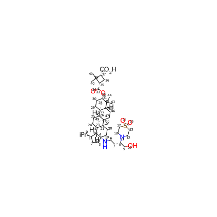 CC(C)[C@@H]1CC[C@]2(NCC[C@@H](CO)N3CCS(=O)(=O)CC3)CC[C@]3(C)[C@H](CC[C@@H]4[C@@]5(C)CC[C@H](OC(=O)[C@H]6C[C@@H](C(=O)O)C6(C)C)C(C)(C)[C@@H]5CC[C@]43C)[C@@H]12